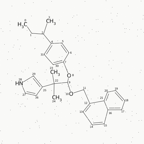 CCC(C)c1ccc(OC(OCc2cccc3ccccc23)C(C)(C)c2cc[nH]c2)cc1